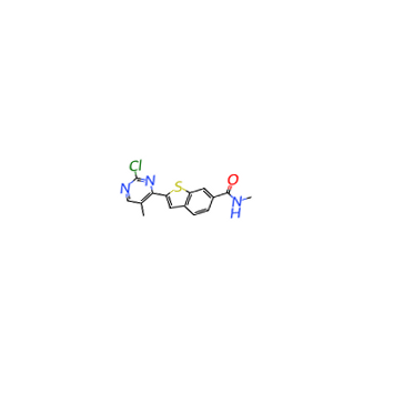 CNC(=O)c1ccc2cc(-c3nc(Cl)ncc3C)sc2c1